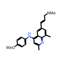 CNC/C=C/c1cc(C)c2nc(C)cc(Nc3ccc(OC)cc3)c2c1